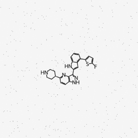 Fc1ccc(-c2cccc3[nH]c(-c4n[nH]c5ccc(C6CCNCC6)nc45)cc23)s1